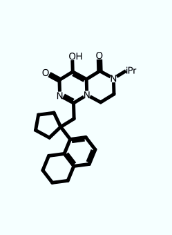 CC(C)N1CCn2c(CC3(c4cccc5c4CCCC5)CCCC3)nc(=O)c(O)c2C1=O